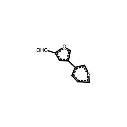 O=Cc1cc(-c2cccnc2)co1